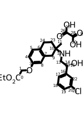 CCOC(=O)COc1ccc2c(c1)CC(C)(NC[C@H](O)c1cccc(Cl)c1)CC2.O=C(O)C(=O)O